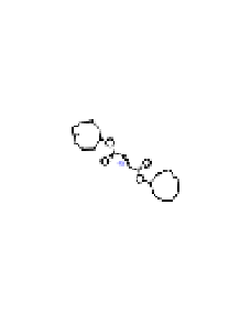 O=C(/C=C/C(=O)OC1CCCCCCC1)OC1CCCCCCC1